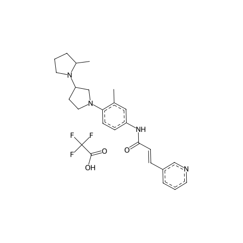 Cc1cc(NC(=O)C=Cc2cccnc2)ccc1N1CCC(N2CCCC2C)C1.O=C(O)C(F)(F)F